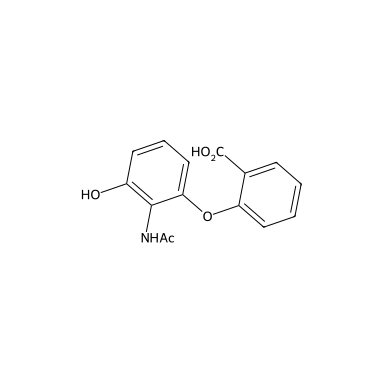 CC(=O)Nc1c(O)cccc1Oc1ccccc1C(=O)O